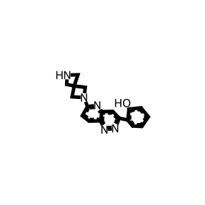 Oc1ccccc1-c1cc2nc(N3CC4(CNC4)C3)ccc2nn1